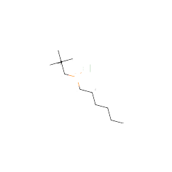 CCCCCCP(Cl)CC(C)(C)C